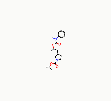 CC(C)OC(=O)N1CCC(CC(C)OC(=O)N(C)c2ccccc2)C1